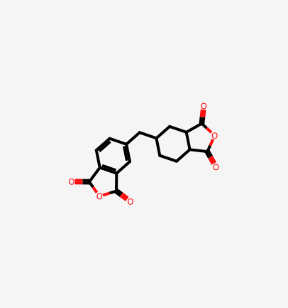 O=C1OC(=O)c2cc(CC3CCC4C(=O)OC(=O)C4C3)ccc21